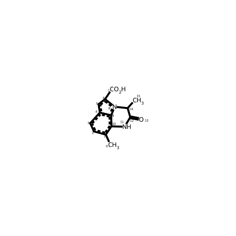 Cc1ccc2cc(C(=O)O)n3c2c1NC(=O)C3C